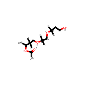 CC(C)C(=O)OC(C(C)C)C(C)(C)COC(C)(C)COC(C)(C)CCO